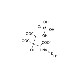 O=C([O-])CC(O)(CC(=O)[O-])C(=O)[O-].O=P(O)(O)O.[H+].[K+].[K+].[NaH]